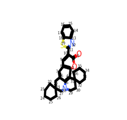 O=c1oc2c3c4c(cc2cc1-c1nc2ccccc2s1)CC1(CCCCC1)CN4CCC31CCCCC1